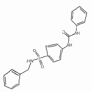 O=C(Nc1ccccc1)Nc1ccc(S(=O)(=O)NCc2ccccc2)cc1